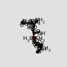 Cc1c(Nc2nc3ccccc3s2)nnc2c1CCCN2c1ccc(-c2cnn(CC34CC5(CCC[N+](C)(CCCC(=O)O)Cc6ccc(NC(=O)[C@H](CCCNC(N)=O)NC(=O)[C@@H](NC(=O)CCOCCN7C(=O)C=CC7=O)C(C)C)cc6)C[C@@](C)(C3)C[C@](C)(C5)C4)c2C)c(C(=O)O)n1